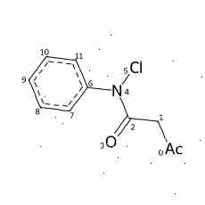 CC(=O)CC(=O)N(Cl)c1ccccc1